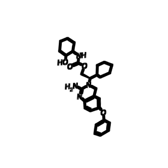 NC1=Nc2ccc(Oc3ccccc3)cc2CN1[C@@H](COC(=O)NC1CCCCC1O)C1CCCCC1